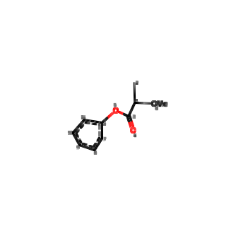 COC(C)C(=O)Oc1ccccc1